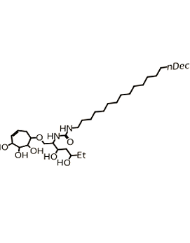 CCCCCCCCCCCCCCCCCCCCCCCCNC(=O)NC(COC1CC=CC(O)C(O)C1O)C(O)CC(O)CC